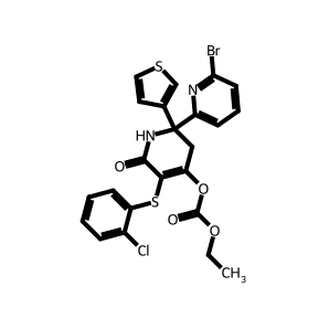 CCOC(=O)OC1=C(Sc2ccccc2Cl)C(=O)NC(c2ccsc2)(c2cccc(Br)n2)C1